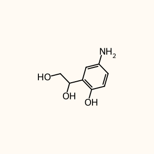 Nc1ccc(O)c(C(O)CO)c1